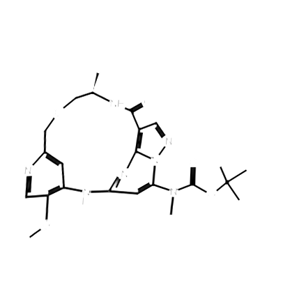 COc1cnc2cc1Nc1cc(N(C)C(=O)OC(C)(C)C)n3ncc(c3n1)C(=O)N[C@H](C)COC2